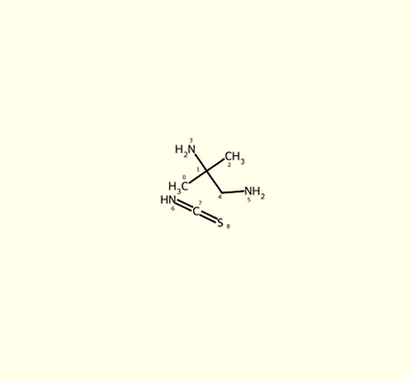 CC(C)(N)CN.N=C=S